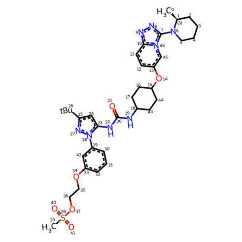 C[C@H]1CCCCN1c1nnc2ccc(OC3CCC(NC(=O)Nc4cc(C(C)(C)C)nn4-c4cccc(OCCOS(C)(=O)=O)c4)CC3)cn12